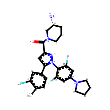 N#Cc1ccc(-c2cc(C(=O)N3CCC[C@@H](N)C3)nn2-c2c(F)cc(N3CCCC3)cc2F)cc1F